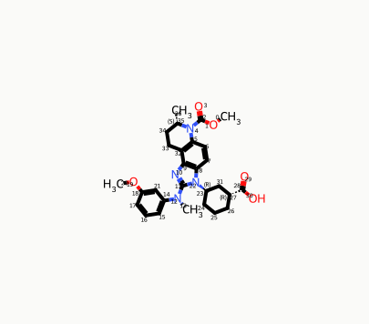 COC(=O)N1c2ccc3c(nc(N(C)c4cccc(OC)c4)n3[C@@H]3CCC[C@@H](C(=O)O)C3)c2CC[C@@H]1C